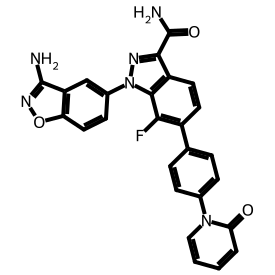 NC(=O)c1nn(-c2ccc3onc(N)c3c2)c2c(F)c(-c3ccc(-n4ccccc4=O)cc3)ccc12